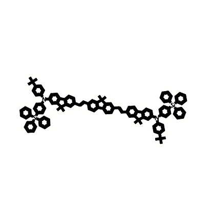 CC(C)(C)c1ccc(N(c2ccc([Si](c3ccccc3)(c3ccccc3)c3ccccc3)cc2)c2ccc3c(c2)C(C)(C)c2cc(/C=C/c4ccc5c(c4)C(C)(C)c4cc(/C=C/c6ccc7c(c6)C(C)(C)c6cc(N(c8ccc(C(C)(C)C)cc8)c8ccc([Si](c9ccccc9)(c9ccccc9)c9ccccc9)cc8)ccc6-7)ccc4-5)ccc2-3)cc1